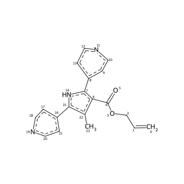 C=CCOC(=O)c1c(-c2ccncc2)[nH]c(-c2ccncc2)c1C